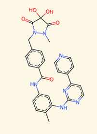 Cc1ccc(NC(=O)c2ccc(CN3C(=O)C(O)(O)C(=O)N3C)cc2)cc1Nc1nccc(-c2ccncc2)n1